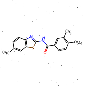 COc1ccc(C(=O)Nc2nc3ccc(C=O)cc3s2)cc1C